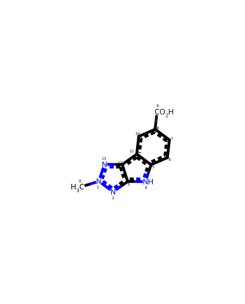 Cn1nc2[nH]c3ccc(C(=O)O)cc3c2n1